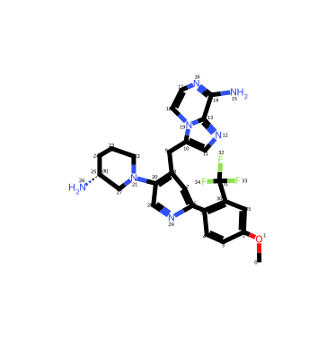 COc1ccc(-c2cc(Cc3cnc4c(N)nccn34)c(N3CCC[C@@H](N)C3)cn2)c(C(F)(F)F)c1